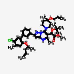 C=CCOC1(C)CCN(c2c(C(OC(C)(C)C)C(=O)OC)c(C)nc3cc(-c4cccc(-c5cc(Cl)c(C)cc5O[C@@H](C)CC=C)c4)nn23)CC1